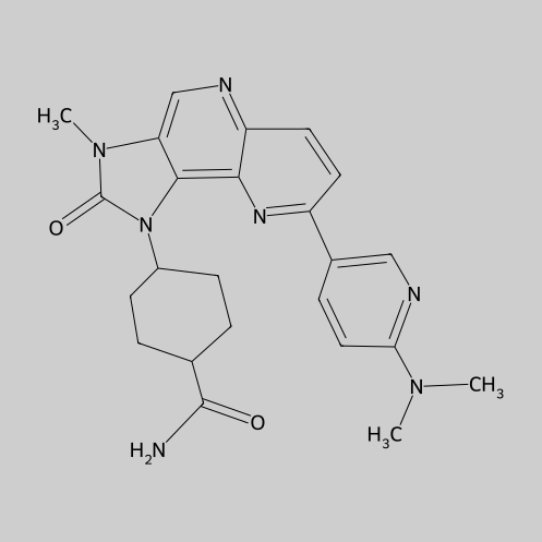 CN(C)c1ccc(-c2ccc3ncc4c(c3n2)n(C2CCC(C(N)=O)CC2)c(=O)n4C)cn1